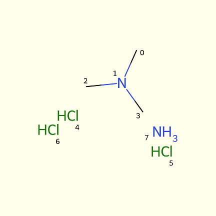 CN(C)C.Cl.Cl.Cl.N